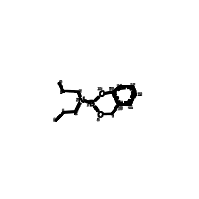 CCCN(CCC)B1OCc2ccccc2O1